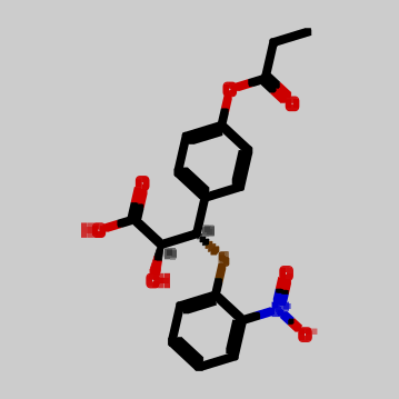 CCC(=O)Oc1ccc([C@H](Sc2ccccc2[N+](=O)[O-])[C@@H](O)C(=O)O)cc1